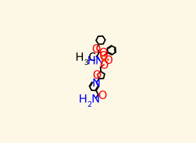 CC(NP(=O)(OCC1CCC(N2C=CCC(C(N)=O)=C2)O1)Oc1ccccc1)C(=O)OC1CCCCC1